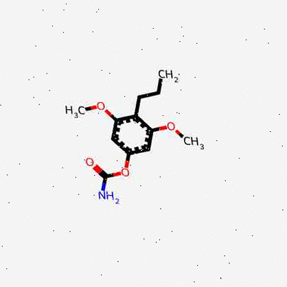 [CH2]CCc1c(OC)cc(OC(N)=O)cc1OC